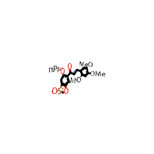 CCCOc1cc2c(cc1C(=O)/C=C/c1c(OC)cc(OC)cc1OC)OC[S+]2[O-]